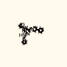 C1=C(c2ccccc2)CCN(Cc2cnc(NCCN3CCCC3)n3nc(-c4ccco4)nc23)C1